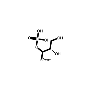 CCCCCC(OP(=O)(O)O)[C@@H](O)CO